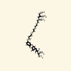 C/C(=C\c1cc(F)c(Oc2ccc(SNCCOCCOCCOCCN(N)/C=C(\N)CO)cc2)c(F)c1)C(=O)N=C(N)N